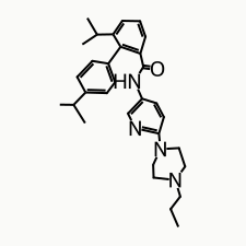 CCCN1CCN(c2ccc(NC(=O)c3cccc(C(C)C)c3-c3ccc(C(C)C)cc3)cn2)CC1